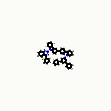 c1ccc(-c2cc(-c3ccccc3)cc(-n3c4ccccc4c4ccc(-c5ccc6c(c5)c5ccccc5n6-c5nc(-c6ccccc6)c6ccccc6n5)cc43)c2)cc1